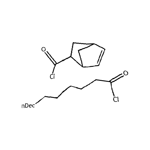 CCCCCCCCCCCCCCCC(=O)Cl.O=C(Cl)C1CC2C=CC1C2